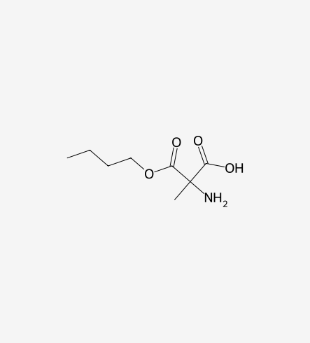 CCCCOC(=O)C(C)(N)C(=O)O